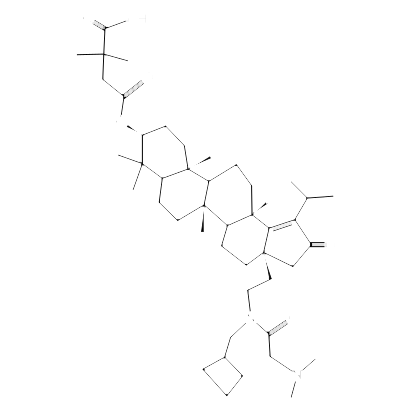 CC(C)C1=C2[C@H]3CCC4[C@@]5(C)CC[C@H](OC(=O)CC(C)(C)C(=O)O)C(C)(C)C5CC[C@@]4(C)[C@]3(C)CC[C@@]2(CCN(CC2CCC2)C(=O)CN(C)C)CC1=O